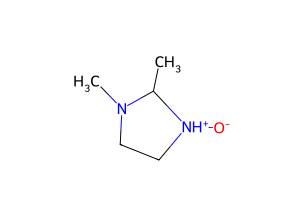 CC1N(C)CC[NH+]1[O-]